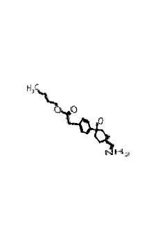 CCCCCOC(=O)Cc1ccc(C2(C=O)CCC(CN)CC2)cc1